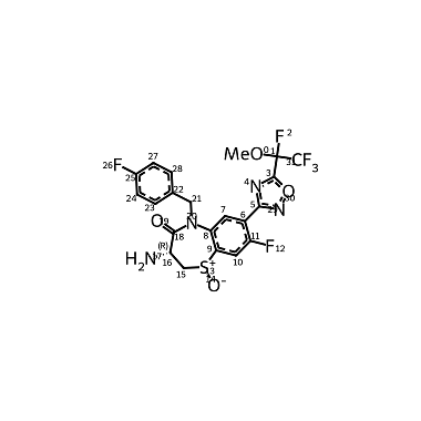 COC(F)(c1nc(-c2cc3c(cc2F)[S+]([O-])C[C@H](N)C(=O)N3Cc2ccc(F)cc2)no1)C(F)(F)F